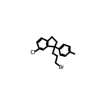 Cc1ccc(C2(CCCBr)CCc3ccc(Cl)cc32)cc1